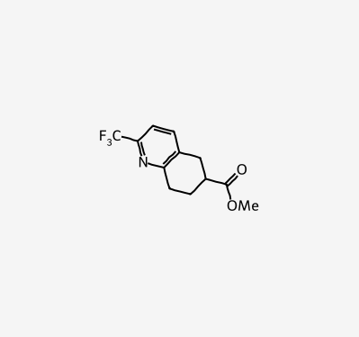 COC(=O)C1CCc2nc(C(F)(F)F)ccc2C1